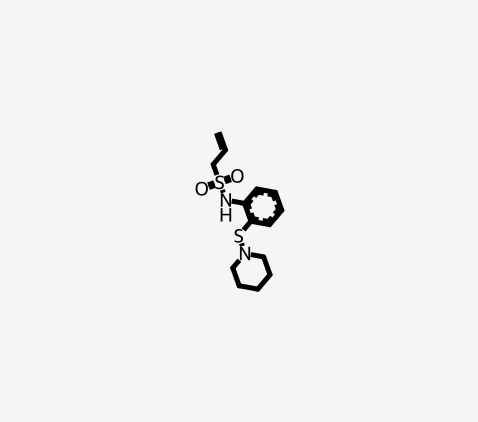 C=CCS(=O)(=O)Nc1ccccc1SN1CCCCC1